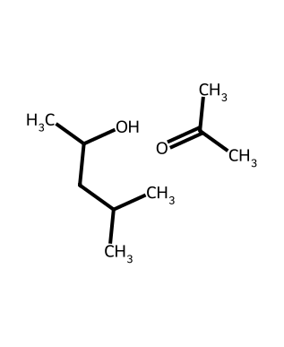 CC(C)=O.CC(C)CC(C)O